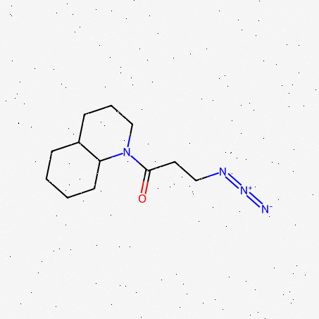 [N-]=[N+]=NCCC(=O)N1CCCC2CCCCC21